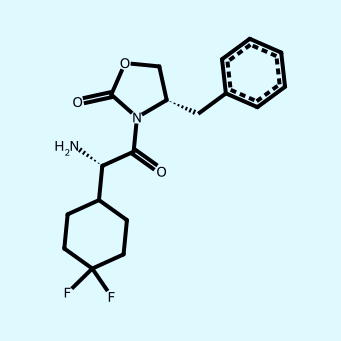 N[C@H](C(=O)N1C(=O)OC[C@@H]1Cc1ccccc1)C1CCC(F)(F)CC1